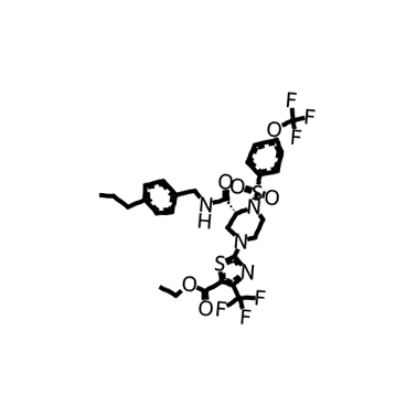 CCCc1ccc(CNC(=O)[C@H]2CN(c3nc(C(F)(F)F)c(C(=O)OCC)s3)CCN2S(=O)(=O)c2ccc(OC(F)(F)F)cc2)cc1